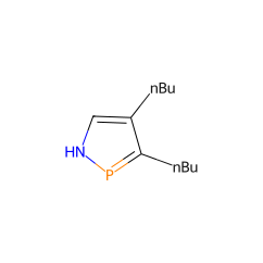 CCCCc1c[nH]pc1CCCC